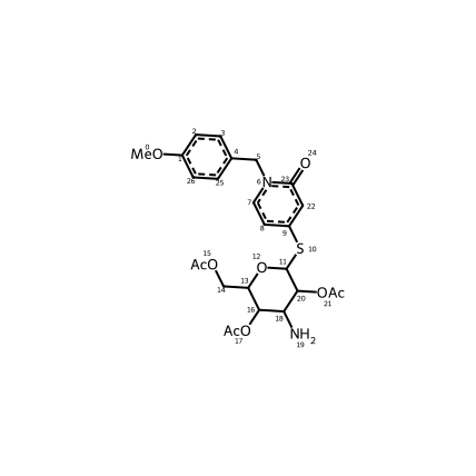 COc1ccc(Cn2ccc(SC3OC(COC(C)=O)C(OC(C)=O)C(N)C3OC(C)=O)cc2=O)cc1